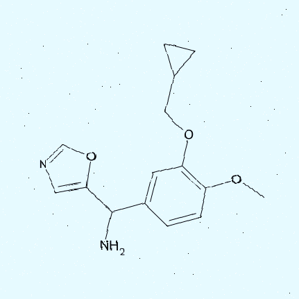 COc1ccc(C(N)c2cnco2)cc1OCC1CC1